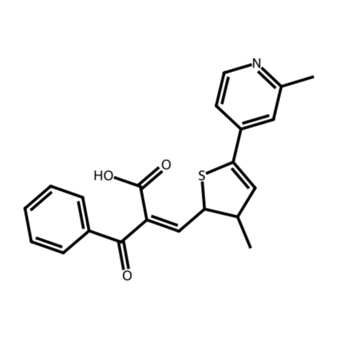 Cc1cc(C2=CC(C)C(/C=C(\C(=O)O)C(=O)c3ccccc3)S2)ccn1